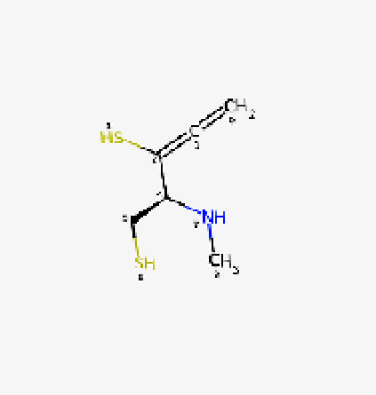 C=C=C(S)[C@H](CS)NC